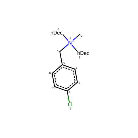 CCCCCCCCCC[N+](C)(CCCCCCCCCC)Cc1ccc(Cl)cc1